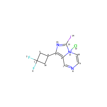 FC1(F)CC(C2=C3C=NC=C[N+]3(Cl)C(I)=N2)C1